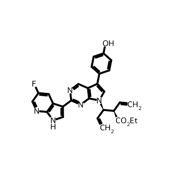 C=C[C@H]([C@@H](C=C)C(=O)OCC)n1cc(-c2ccc(O)cc2)c2cnc(-c3c[nH]c4ncc(F)cc34)nc21